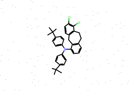 CC(C)(C)c1ccc(N(c2ccc(C(C)(C)C)cc2)c2cccc3c2Cc2ccc(Cl)c(Cl)c2CC3)cc1